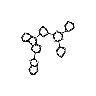 c1ccc(-c2nc(-c3ccccc3)nc(-c3cccc(-n4c5ccccc5c5cc(-c6nc7ccccc7s6)ccc54)c3)n2)cc1